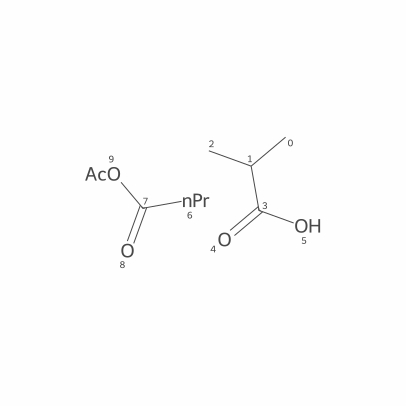 CC(C)C(=O)O.CCCC(=O)OC(C)=O